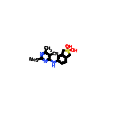 CSc1nc(C)c(C#N)c(Nc2ccc3c(c2)CS(O)(O)C3)n1